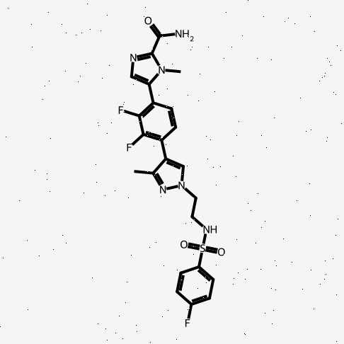 Cc1nn(CCNS(=O)(=O)c2ccc(F)cc2)cc1-c1ccc(-c2cnc(C(N)=O)n2C)c(F)c1F